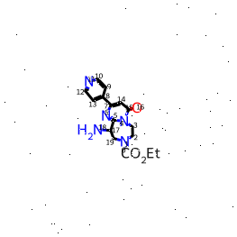 CCOC(=O)N1CCn2c(nc(-c3ccncc3)cc2=O)C(N)C1